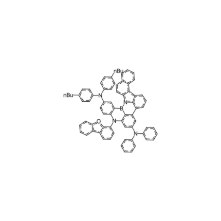 CCCCc1ccc(N(c2ccc(CCCC)cc2)c2ccc3c(c2)B2c4c(cc(N(c5ccccc5)c5ccccc5)cc4N3c3cccc4c3oc3ccccc34)-c3cccc4c5c6ccccc6ccc5n2c34)cc1